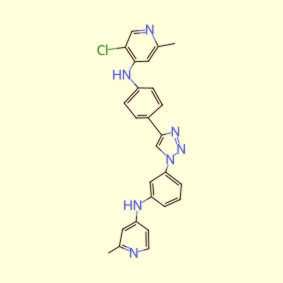 Cc1cc(Nc2cccc(-n3cc(-c4ccc(Nc5cc(C)ncc5Cl)cc4)nn3)c2)ccn1